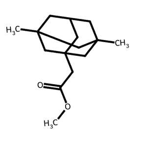 COC(=O)CC12CC3CC(C)(CC(C)(C3)C1)C2